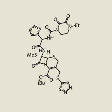 CCN1CCN(C(=O)NC(C(=O)N[C@]2(SC)C(=O)N3C(C(=O)OC(C)(C)C)=C(CSc4cnns4)CS[C@@H]32)c2cccs2)C(=O)C1=O